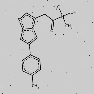 Cc1ccc(-c2cc3scc(CC(=O)[N+](C)(C)O)n3c2)cc1